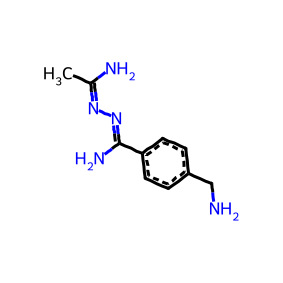 C/C(N)=N/N=C(\N)c1ccc(CN)cc1